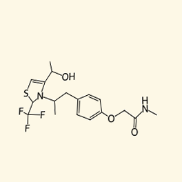 CNC(=O)COc1ccc(CC(C)N2C(C(C)O)=CSC2C(F)(F)F)cc1